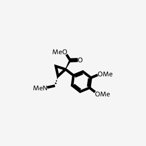 CNC[C@@H]1C[C@]1(C(=O)OC)c1ccc(OC)c(OC)c1